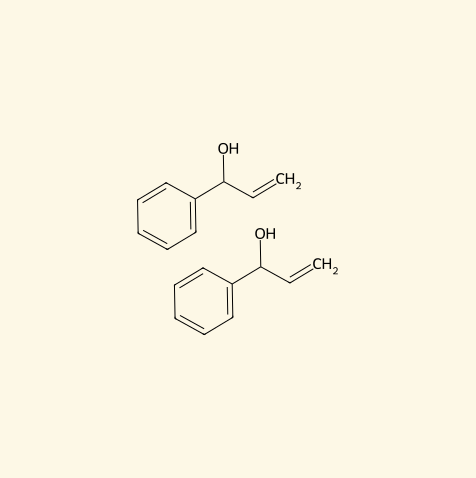 C=CC(O)c1ccccc1.C=CC(O)c1ccccc1